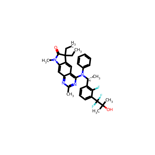 CCC1(CC)C(=O)N(C)c2cc3nc(C)nc(N(c4ccccc4)[C@H](C)c4cccc(C(F)(F)C(C)(C)O)c4F)c3cc21